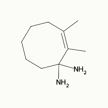 C/C1=C(\C)C(N)(N)CCCCC1